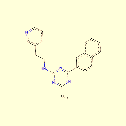 ClC(Cl)(Cl)c1nc(NCCc2cccnc2)nc(-c2ccc3ccccc3c2)n1